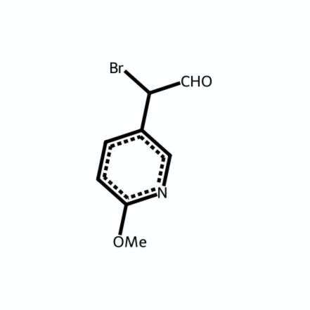 COc1ccc(C(Br)C=O)cn1